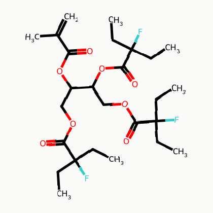 C=C(C)C(=O)OC(COC(=O)C(F)(CC)CC)C(COC(=O)C(F)(CC)CC)OC(=O)C(F)(CC)CC